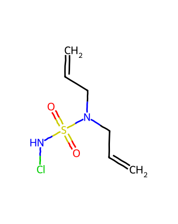 C=CCN(CC=C)S(=O)(=O)NCl